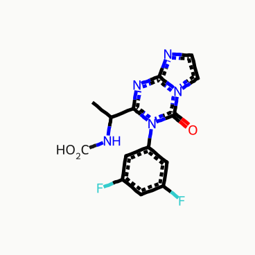 CC(NC(=O)O)c1nc2nccn2c(=O)n1-c1cc(F)cc(F)c1